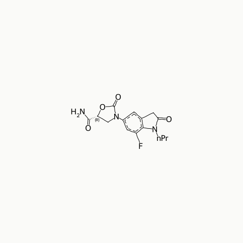 CCCN1C(=O)Cc2cc(N3C[C@H](C(N)=O)OC3=O)cc(F)c21